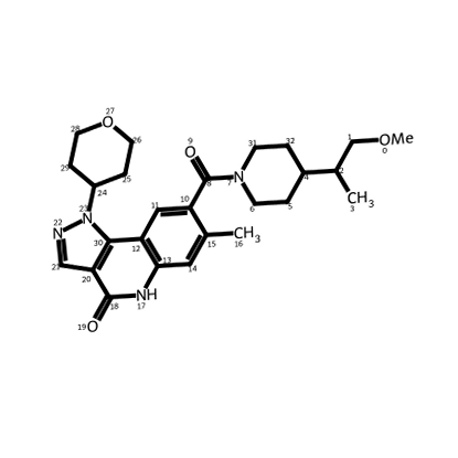 COCC(C)C1CCN(C(=O)c2cc3c(cc2C)[nH]c(=O)c2cnn(C4CCOCC4)c23)CC1